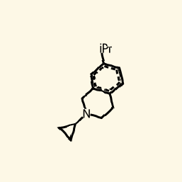 CC(C)c1ccc2c(c1)CN(C1CC1)CC2